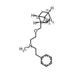 CN(CCOC[C@H]1CC[C@H]2C[C@@H]1C2(C)C)CCc1ccccc1